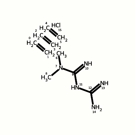 C=C.C=C.C=C.CN(C)C(=N)NC(=N)N.Cl